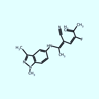 C=C(C)/C(F)=C\C(C#N)=C(/C)Nc1ccc2c(c1)c(C)nn2C